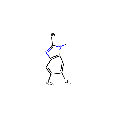 CC(C)c1nc2cc([N+](=O)[O-])c(C(F)(F)F)cc2n1C